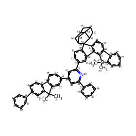 CC1(C)c2cc(-c3ccccc3)ccc2-c2ccc(-c3cc(-c4ccccc4)nc(-c4ccc5c(c4)-c4c(ccc6c4[Si](C)(C)c4ccccc4-6)C54C5CC6CC(C5)CC4C6)c3)cc21